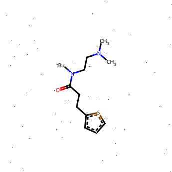 CN(C)CCN(C(=O)CCc1cccs1)C(C)(C)C